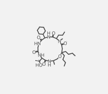 CCCCC1(CCCC)CC(=O)N(C)C(CCC)C(=O)NC(C2CCCCC2)C(=O)NCC(=O)NC([C@H](C)O)C(=O)NC(C)CO1